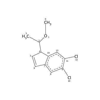 COC(C)C1C=Cc2cc(Cl)c(Cl)cc21